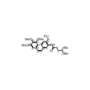 CCCCN(CCCC)CCC(=O)Nc1cc(/C=C\c2cc(OC)c(OC)c(OC)c2)ccc1OCC